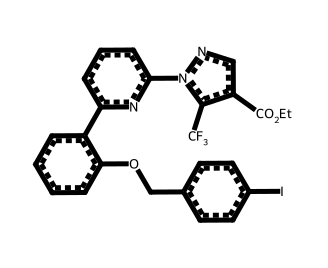 CCOC(=O)c1cnn(-c2cccc(-c3ccccc3OCc3ccc(I)cc3)n2)c1C(F)(F)F